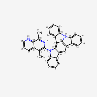 Cc1c(-n2c3ccccc3c3cc4c5ccccc5n5c6ccccc6c(c32)c45)nc(C#N)c2ncccc12